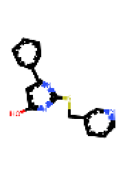 Oc1cc(-c2ccccc2)nc(SCc2cccnc2)n1